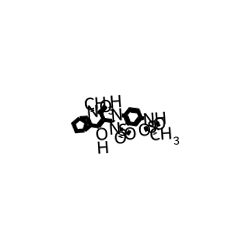 CN1C(=O)C(C2=NS(=O)(=O)c3cc(NS(C)(=O)=O)ccc3N2)=C(O)C2C3CCC(C3)C21